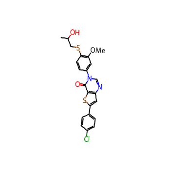 COc1cc(-n2cnc3cc(-c4ccc(Cl)cc4)sc3c2=O)ccc1SCC(C)O